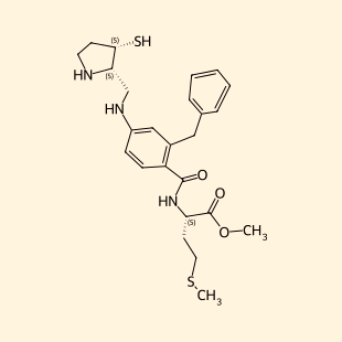 COC(=O)[C@H](CCSC)NC(=O)c1ccc(NC[C@@H]2NCC[C@@H]2S)cc1Cc1ccccc1